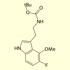 COc1c(F)ccc2[nH]cc(CCNC(=O)OC(C)(C)C)c12